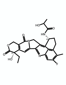 CC[C@@]1(O)C(=O)OCc2c1cc1n(c2=O)Cc2c-1nc1cc(F)c(C)c3c1c2[C@H](NC(=O)C(C)O)CC3